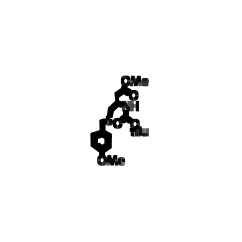 COC(=O)C[C@H](CSCc1ccc(OC)cc1)NC(=O)OC(C)(C)C